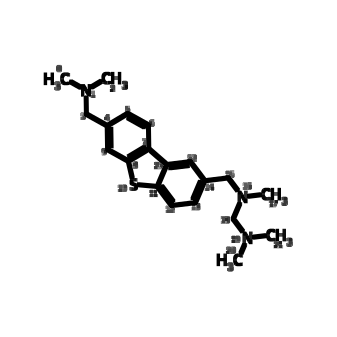 CN(C)Cc1ccc2c(c1)sc1ccc(CN(C)CN(C)C)cc12